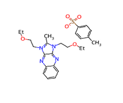 CCOCCn1c(C)[n+](CCOCC)c2nc3ccccc3nc21.Cc1ccc(S(=O)(=O)[O-])cc1